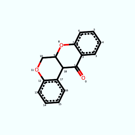 O=C1c2ccccc2OC2COc3ccccc3C12